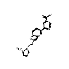 CCC(=O)c1cccc(-c2ccc3oc(CCN4CCC[C@H]4C)cc3c2)c1